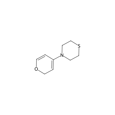 C1=CC(N2CCSCC2)=CCO1